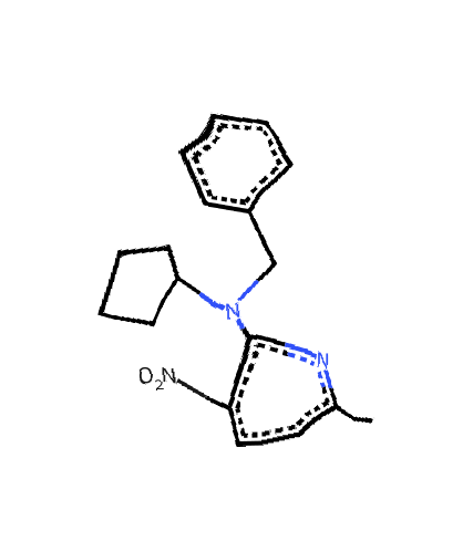 Cc1ccc([N+](=O)[O-])c(N(Cc2ccccc2)C2CCCC2)n1